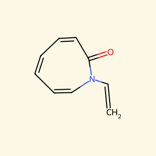 C=CN1\C=C/C=C\C=C/C1=O